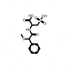 COC(C(=O)NC(CS(=O)(=O)O)C(=O)O)c1ccccc1